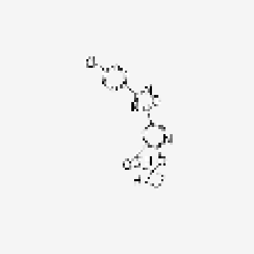 Clc1ccc(-c2noc(-c3cnc4c(c3)[C@@H]3O[C@@H]3C3(CCC3)O4)n2)cc1